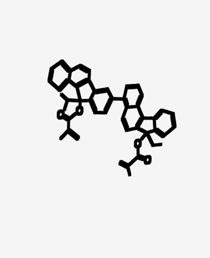 C=C(C)C(=O)OC1(CC)c2ccccc2-c2c1ccc1c(-c3ccc4c(c3)-c3ccc5ccccc5c3C4(OC(=O)C(=C)C)C(C)C)cccc21